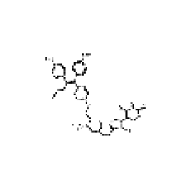 CN(CCOc1ccc(/C(=C(\CCCl)c2ccc(O)cc2)c2ccc(O)cc2)cc1)Cc1ccc2c(c1F)CN(C1CCC(=O)NC1=O)C2O